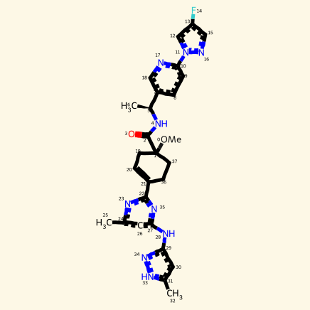 COC1(C(=O)N[C@@H](C)c2ccc(-n3cc(F)cn3)nc2)CC=C(c2nc(C)cc(Nc3cc(C)[nH]n3)n2)CC1